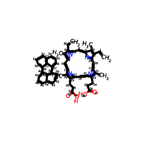 C=CC1=C(C)c2cc3[nH]c(cc4nc(cc5[nH]c(cc1n2)c(C)c5CCC(=O)O)C(CCC(=O)O)=C4C)c(C)c3C=C.c1cc2cccc3c4cccc5cccc(c(c1)c23)c54